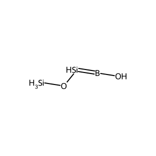 O/B=[SiH]/O[SiH3]